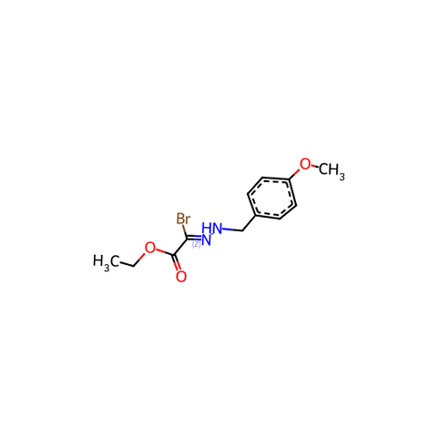 CCOC(=O)/C(Br)=N/NCc1ccc(OC)cc1